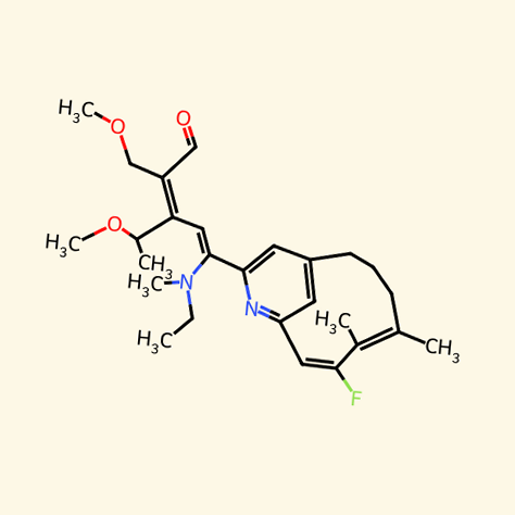 CCN(C)/C(=C\C(=C(/C=O)COC)C(C)OC)c1cc2cc(n1)/C=C(F)\C(C)=C(/C)CCC2